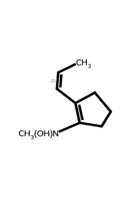 C/C=C\C1=C(N(C)O)CCC1